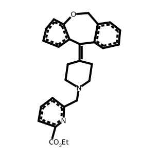 CCOC(=O)c1cccc(CN2CCC(=C3c4ccccc4COc4ccccc43)CC2)n1